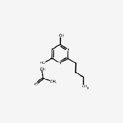 CC(=O)O.CCCCc1nc(O)cc(O)n1